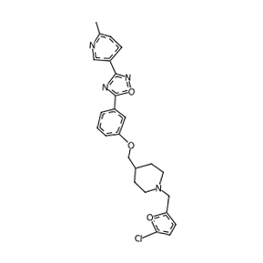 Cc1ccc(-c2noc(-c3cccc(OCC4CCN(Cc5ccc(Cl)o5)CC4)c3)n2)cn1